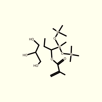 C=C(C)C(=O)OC(CC)[Si](C)(O[Si](C)(C)C)O[Si](C)(C)C.OCC(O)CO